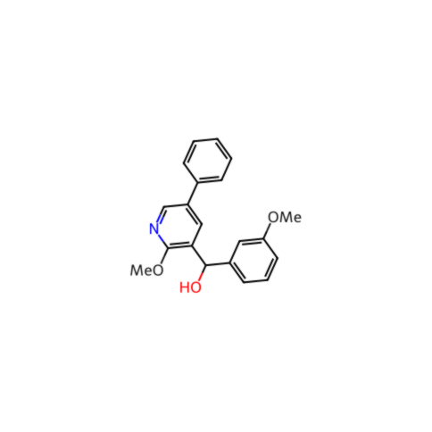 COc1cccc(C(O)c2cc(-c3ccccc3)cnc2OC)c1